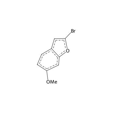 COc1ccc2cc(Br)oc2c1